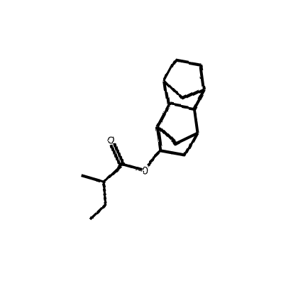 CCC(C)C(=O)OC1CC2CC1C1C3CCC(C3)C21